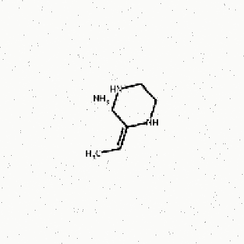 CC=C1CNCCN1.N